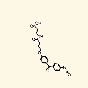 O=C=Nc1ccc(C(=O)c2ccc(OCCCC(=O)NCCS(=O)O)cc2)cc1